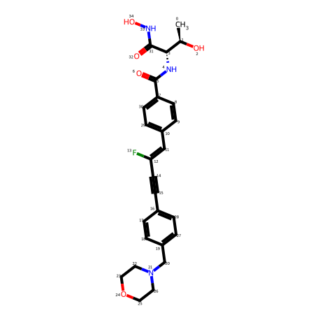 C[C@@H](O)[C@H](NC(=O)c1ccc(C=C(F)C#Cc2ccc(CN3CCOCC3)cc2)cc1)C(=O)NO